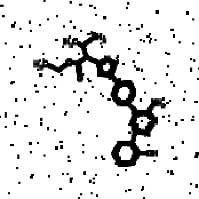 CCOC(=O)C(C(C)C)n1cc(-c2ccc(-c3cc(-c4ccccc4O)nnc3N)cc2)cn1